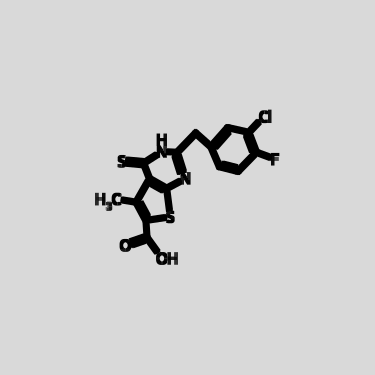 Cc1c(C(=O)O)sc2nc(Cc3ccc(F)c(Cl)c3)[nH]c(=S)c12